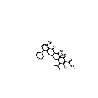 CN(C)C1C(O)=C(C(N)=O)C(=O)C2(O)C(O)=C3C(=O)c4c(O)ccc(N5CCOCC5)c4CC3CC12